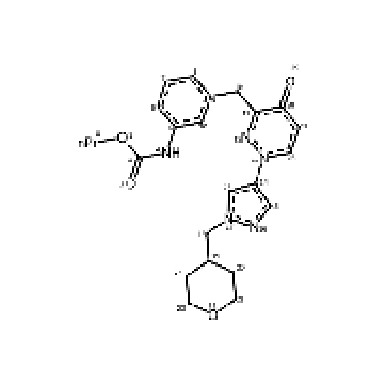 CCCOC(=O)Nc1cccc(Cc2nn(-c3cnn(CC4CCOCC4)c3)ccc2=O)c1